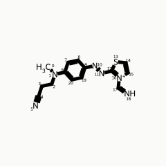 CN(CCC#N)c1ccc(N=Nc2scc[n+]2C=N)cc1